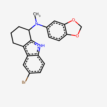 CN(c1ccc2c(c1)OCO2)C1CCCc2c1[nH]c1ccc(Br)cc21